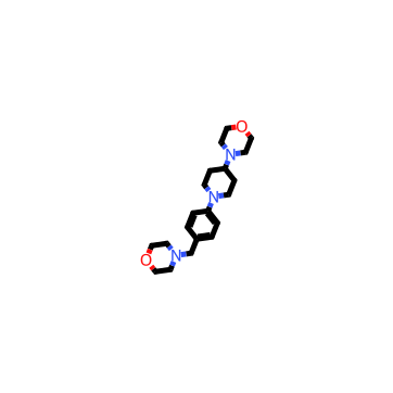 c1cc(N2CCC(N3CCOCC3)CC2)ccc1CN1CCOCC1